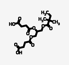 CCC(C)(C)C(=O)OCC(COC(=O)CCC(=O)O)OC(=O)CCC(=O)O